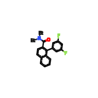 CCN(CC)C(=O)c1ccc2ccccc2c1-c1cc(F)cc(F)c1